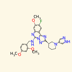 COc1ccc(CNc2nc3cc(OC)c(F)cc3c3nc([C@@H]4CCCN(c5cn[nH]c5)C4)nn23)c(OC)c1